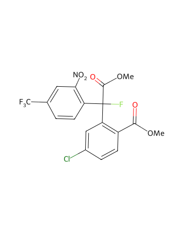 COC(=O)c1ccc(Cl)cc1C(F)(C(=O)OC)c1ccc(C(F)(F)F)cc1[N+](=O)[O-]